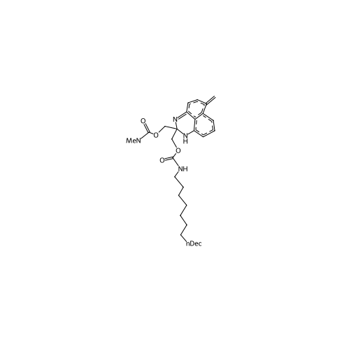 C=c1ccc2c3c(cccc13)NC(COC(=O)NC)(COC(=O)NCCCCCCCCCCCCCCCCC)N=2